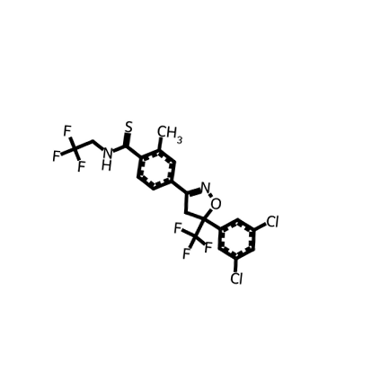 Cc1cc(C2=NOC(c3cc(Cl)cc(Cl)c3)(C(F)(F)F)C2)ccc1C(=S)NCC(F)(F)F